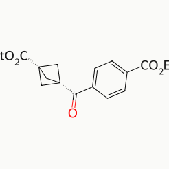 CCOC(=O)c1ccc(C(=O)[C@]23C[C@](C(=O)OCC)(C2)C3)cc1